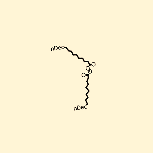 CCCCCCCCCCCCCCCCCCCC(=O)OOC(=O)CCCCCCCCCCCCCCCCCCC